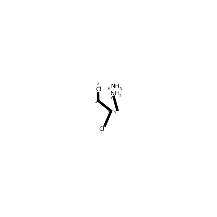 CN.ClCCCl.N